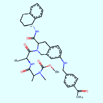 COC(=O)c1ccc(CNc2ccc3c(c2)CN(C(=O)C(NC(=O)C(C)N(C)C(=O)OC(C)(C)C)C(C)(C)C)C(C(=O)N[C@@H]2CCCc4ccccc42)C3)cc1